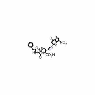 O=C(Cc1ccccc1)NC1C(=O)N2C(C(=O)O)=C(/C=C/Sc3cc(=O)c4scc([N+](=O)[O-])c4s3)CS[C@H]12